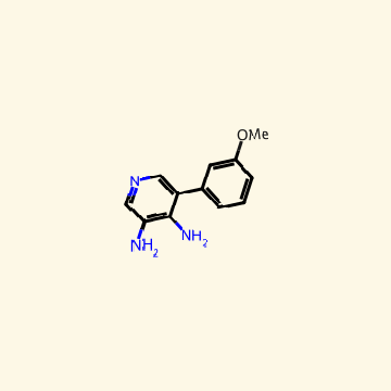 COc1cccc(-c2cncc(N)c2N)c1